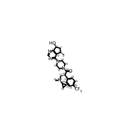 C[C@@H]1C[C@H](O)c2ncnc(N3CCN(C(=O)[C@H](CN(C)C4CC4)c4ccc(C(F)(F)F)cc4)CC3)c21